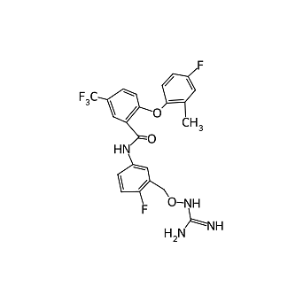 Cc1cc(F)ccc1Oc1ccc(C(F)(F)F)cc1C(=O)Nc1ccc(F)c(CONC(=N)N)c1